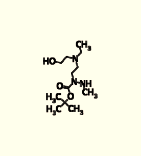 CCN(CCO)CCN(NC)C(=O)OC(C)(C)C